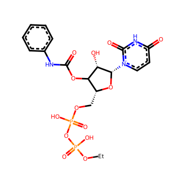 CCOP(=O)(O)OP(=O)(O)OC[C@H]1O[C@@H](n2ccc(=O)[nH]c2=O)[C@@H](O)C1OC(=O)Nc1ccccc1